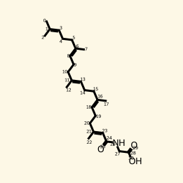 CC(C)=CCCC(C)=CCCC(C)=CCCC(C)=CCCC(C)=CC(=O)NCC(=O)O